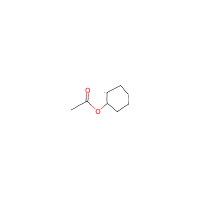 CC(=O)OC1[CH]CCCC1